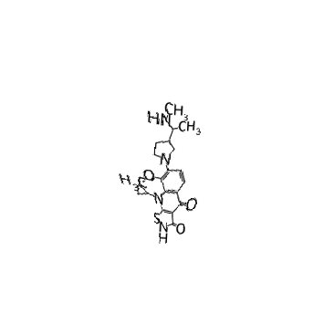 CNC(C)C1CCN(c2ccc3c(=O)c4c(=O)[nH]sc4n(C4CC4)c3c2OC)C1